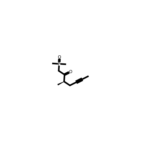 CC#CC[C@@H](C)C(=O)CP(C)(C)=O